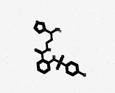 CC(CCNC(=O)c1ccccc1NS(=O)(=O)c1ccc(Cl)cc1)n1ccnc1